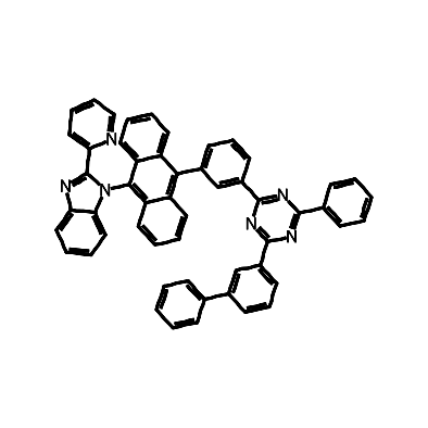 c1ccc(-c2cccc(-c3nc(-c4ccccc4)nc(-c4cccc(-c5c6ccccc6c(-n6c(-c7ccccn7)nc7ccccc76)c6ccccc56)c4)n3)c2)cc1